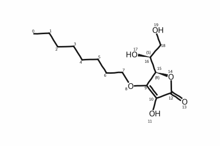 CCCCCCCCOC1=C(O)C(=O)O[C@@H]1[C@@H](O)CO